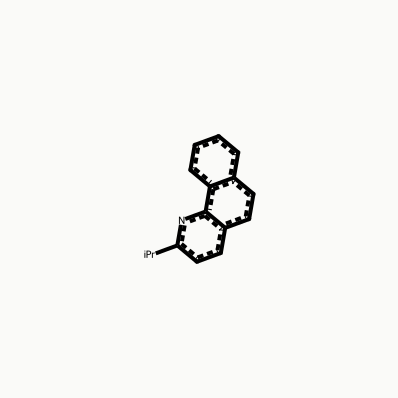 CC(C)c1ccc2ccc3ccccc3c2n1